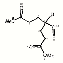 CCC(CCC(=O)OC)(CCC(=O)OC)P=O